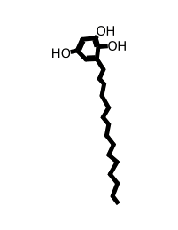 CCCCCCCCCCCCCCCc1cc(O)cc(O)c1O